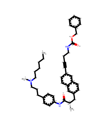 CCCCCCN(C)CCCc1ccc(NC(=O)[C@@H](C)Cc2ccc3cc(C#CCCNC(=O)OCc4ccccc4)ccc3c2)cc1